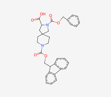 O=C(O)C1CC2(CCN(C(=O)OCC3c4ccccc4-c4ccccc43)CC2)CN1C(=O)OCc1ccccc1